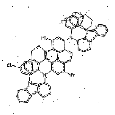 CCc1cccc(-n2c3ccccc3c3cccc(N(c4cccc5c4CCCC5)c4cc(C(C)C)c5ccc6c(N(c7cccc8c7CCCC8)c7cccc8c9ccccc9n(-c9cccc(CC)c9)c78)cc(C(C)C)c7ccc4c5c76)c32)c1